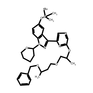 CC(CCOCC(C)Oc1cncc(-c2nn(C3CCCCO3)c3ccc(O[Si](C)(C)C(C)(C)C)cc23)n1)OCc1ccccc1